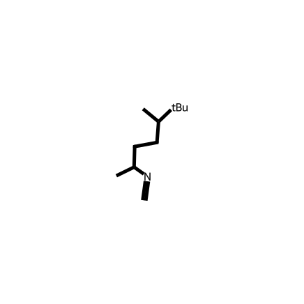 C=NC(C)CCC(C)C(C)(C)C